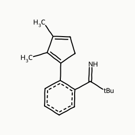 CC1=CCC(c2ccccc2C(=N)C(C)(C)C)=C1C